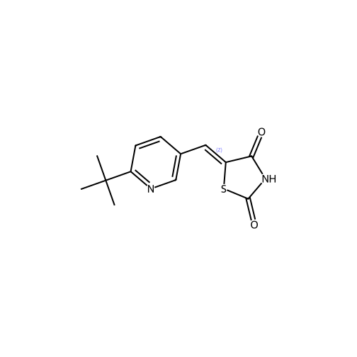 CC(C)(C)c1ccc(/C=C2\SC(=O)NC2=O)cn1